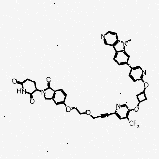 Cn1c2ccncc2c2ccc(-c3ccc(OC4CC(Oc5cnc(C#CCOCCOc6ccc7c(c6)CN(C6CCC(=O)NC6=O)C7=O)cc5C(F)(F)F)C4)nc3)cc21